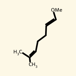 CO/C=C/CCC=C(C)C